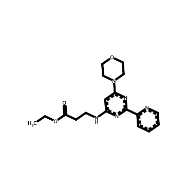 CCOC(=O)CCNc1cc(N2CCOCC2)nc(-c2ccccn2)n1